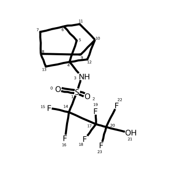 O=S(=O)(NC12CC3CC(CC(C3)C1)C2)C(F)(F)C(F)(F)C(O)(F)F